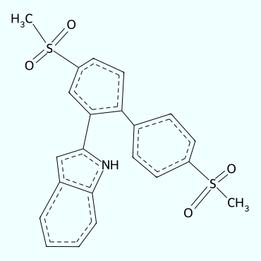 CS(=O)(=O)c1ccc(-c2ccc(S(C)(=O)=O)cc2-c2cc3ccccc3[nH]2)cc1